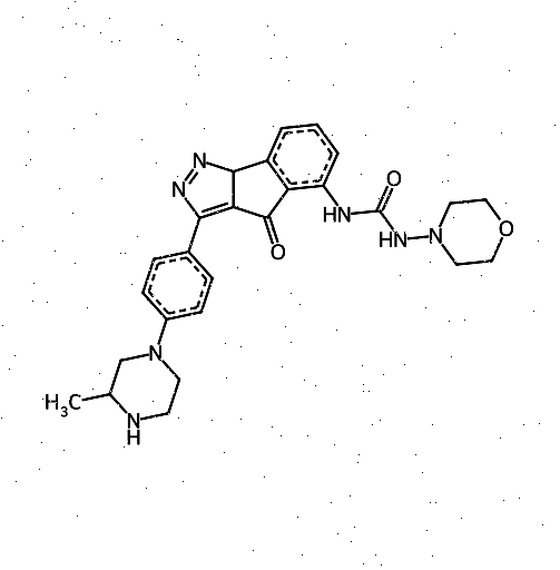 CC1CN(c2ccc(C3=C4C(=O)c5c(NC(=O)NN6CCOCC6)cccc5C4N=N3)cc2)CCN1